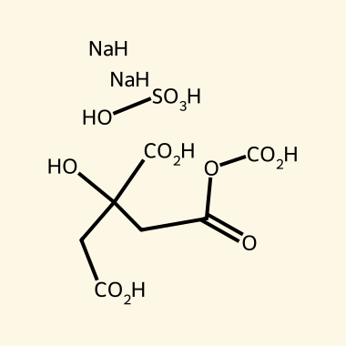 O=C(O)CC(O)(CC(=O)OC(=O)O)C(=O)O.O=S(=O)(O)O.[NaH].[NaH]